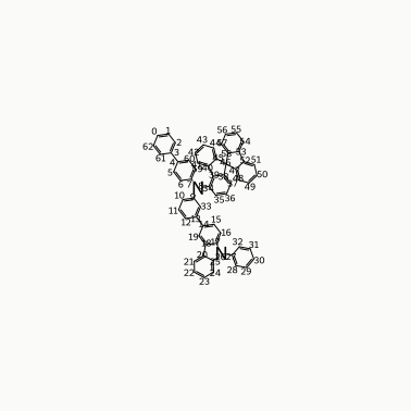 c1ccc(-c2ccc(N(c3cccc(-c4ccc5c(c4)c4ccccc4n5-c4ccccc4)c3)c3cccc4c3-c3ccccc3C43c4ccccc4-c4ccccc43)cc2)cc1